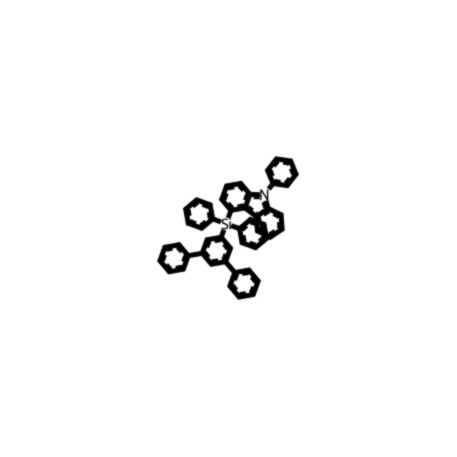 c1ccc(-c2cc(-c3ccccc3)cc([Si](c3ccccc3)(c3ccccc3)c3cccc4c3c3ccccc3n4-c3ccccc3)c2)cc1